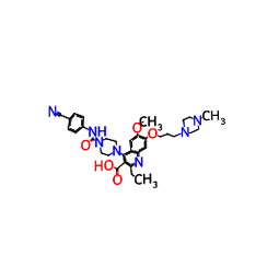 CCc1nc2cc(OCCCN3CCN(C)CC3)c(OC)cc2c(N2CCN(C(=O)Nc3ccc(C#N)cc3)CC2)c1C(=O)O